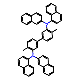 Cc1ccc(-c2ccc(C)c(N(c3ccc4ccccc4c3)c3cccc4ccccc34)c2)cc1N(c1ccc2ccccc2c1)c1cccc2ccccc12